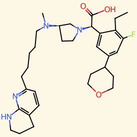 CCc1c(F)cc(C2CCOCC2)cc1[C@H](C(=O)O)N1CC[C@@H](N(C)CCCCCc2ccc3c(n2)NCCC3)C1